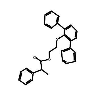 CC(c1ccccc1)C(Cl)OCCOc1c(-c2ccccc2)cccc1-c1ccccc1